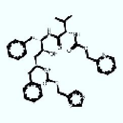 CC(C)[C@H](NC(=O)OCc1ccccn1)C(=O)N[C@@H](Cc1ccccc1)[C@@H](O)C[C@H](Cc1ccccc1)NC(=O)OCc1cncs1